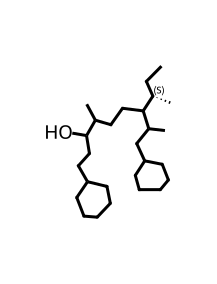 CC[C@H](C)C(CCC(C)C(O)CCC1CCCCC1)C(C)CC1CCCCC1